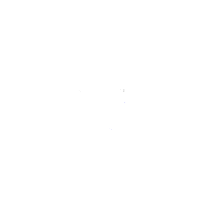 C=C(C1=CC2CCCC=C2NC1)/C(N)=C\[C@H](C)/C=C(\C)C(F)F